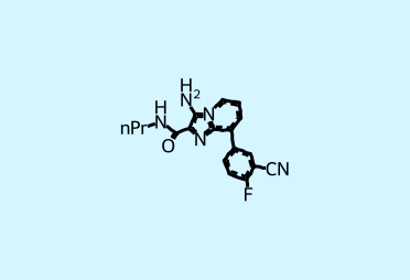 CCCNC(=O)c1nc2c(-c3ccc(F)c(C#N)c3)cccn2c1N